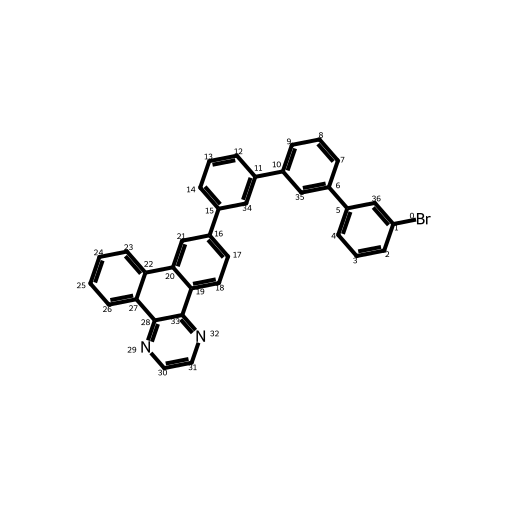 Brc1cccc(-c2cccc(-c3cccc(-c4ccc5c(c4)c4ccccc4c4nccnc54)c3)c2)c1